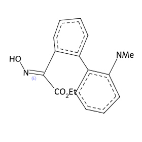 CCOC(=O)/C(=N/O)c1ccccc1-c1ccccc1NC